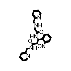 O=Nc1ccccc1C(CC(=O)NCc1ccccn1)NC(=O)CNCc1ccccn1